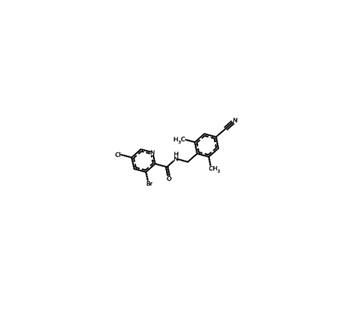 Cc1cc(C#N)cc(C)c1CNC(=O)c1ncc(Cl)cc1Br